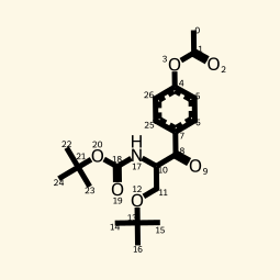 CC(=O)Oc1ccc(C(=O)C(COC(C)(C)C)NC(=O)OC(C)(C)C)cc1